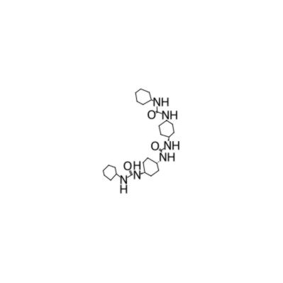 O=C(NC1CCCCC1)N[C@H]1CC[C@H](NC(=O)N[C@H]2CC[C@H](NC(=O)NC3CCCCC3)CC2)CC1